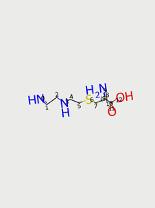 N=CCNCCSC[C@@H](N)C(=O)O